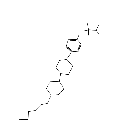 CCCCCCC1CCC(C2CCC(c3ccc(OC(F)(F)C(F)F)cc3)CC2)CC1